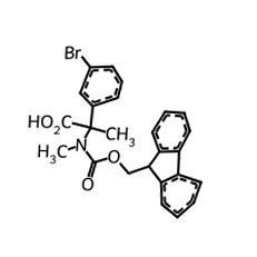 CN(C(=O)OCC1c2ccccc2-c2ccccc21)C(C)(C(=O)O)c1cccc(Br)c1